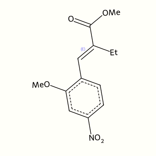 CC/C(=C\c1ccc([N+](=O)[O-])cc1OC)C(=O)OC